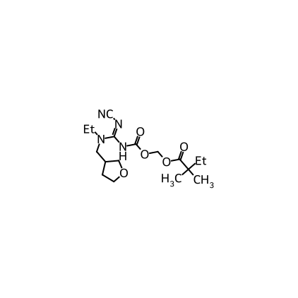 CCN(CC1CCOC1)/C(=N\C#N)NC(=O)OCOC(=O)C(C)(C)CC